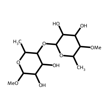 COC1OC(C)C(OC2OC(C)C(OC)C(O)C2O)C(O)C1O